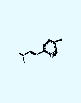 CN(C)C=Nc1ccc(I)cn1